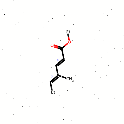 CC/C=C(C)/C=C/C(=O)OCC